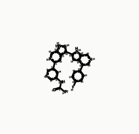 CC(C)C(=O)Nc1cncc(-c2cc3c(-c4cc5c(-c6ccc(F)cc6)cncc5[nH]4)n[nH]c3cn2)c1